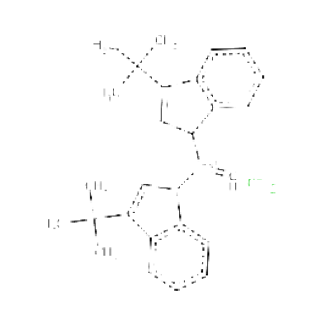 [CH2]=[Hf+2]([CH]1C=C(C(C)(C)C)c2ccccc21)[CH]1C=C(C(C)(C)C)c2ccccc21.[Cl-].[Cl-]